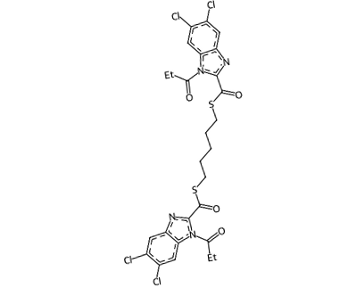 CCC(=O)n1c(C(=O)SCCCCCSC(=O)c2nc3cc(Cl)c(Cl)cc3n2C(=O)CC)nc2cc(Cl)c(Cl)cc21